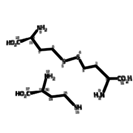 NC(CCSSCC[C@H](N)C(=O)O)C(=O)O.N[C@@H](CCS)C(=O)O